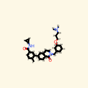 Cc1ccc(C(=O)NC2CC2)cc1-c1ccc2c(=O)n(Cc3cccc(OCCCN(C)C)c3)ccc2c1